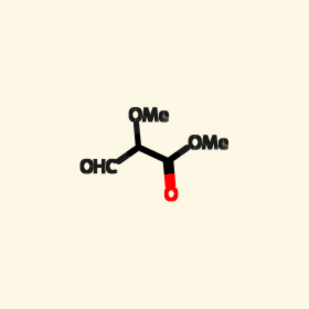 COC(=O)C(C=O)OC